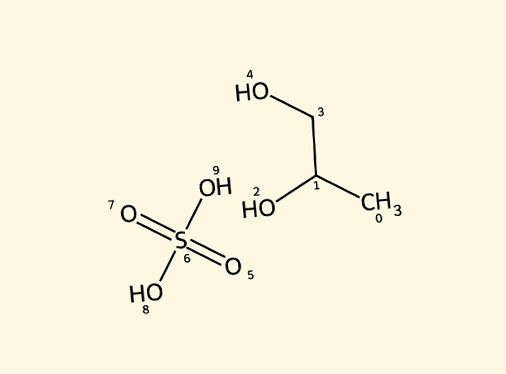 CC(O)CO.O=S(=O)(O)O